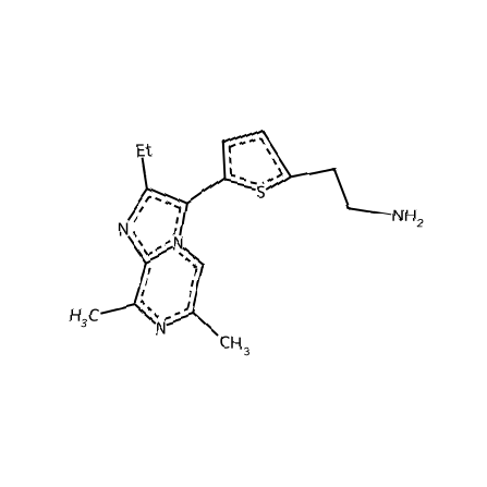 CCc1nc2c(C)nc(C)cn2c1-c1ccc(CCN)s1